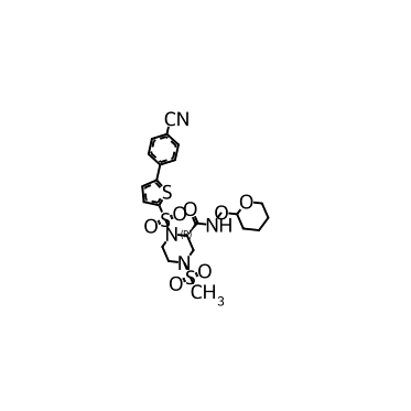 CS(=O)(=O)N1CCN(S(=O)(=O)c2ccc(-c3ccc(C#N)cc3)s2)[C@@H](C(=O)NOC2CCCCO2)C1